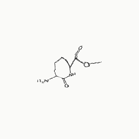 COC(=O)C1CCCC(N)C(=O)N1